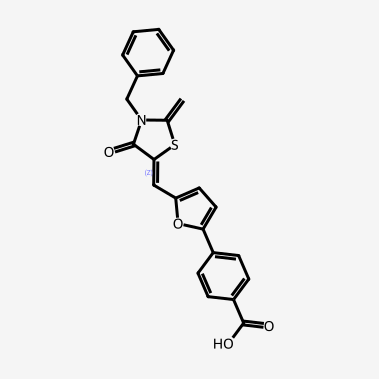 C=c1s/c(=C\c2ccc(-c3ccc(C(=O)O)cc3)o2)c(=O)n1Cc1ccccc1